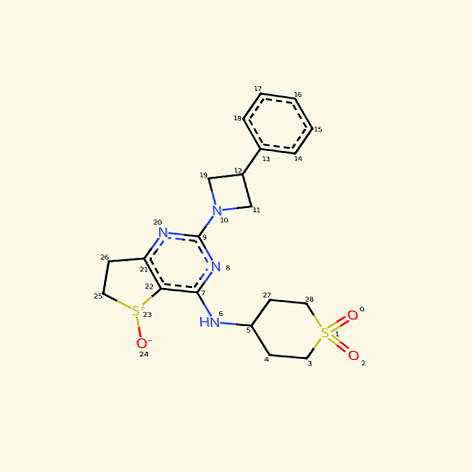 O=S1(=O)CCC(Nc2nc(N3CC(c4ccccc4)C3)nc3c2[S+]([O-])CC3)CC1